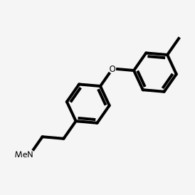 CNCCc1ccc(Oc2cccc(C)c2)cc1